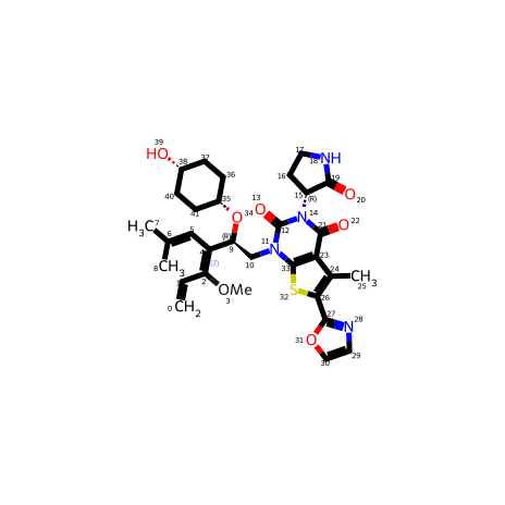 C=C/C(OC)=C(\C=C(C)C)[C@H](Cn1c(=O)n([C@@H]2CCNC2=O)c(=O)c2c(C)c(-c3ncco3)sc21)O[C@H]1CC[C@@H](O)CC1